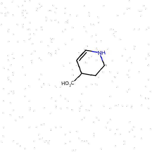 O=C(O)C1C=CN[C]C1